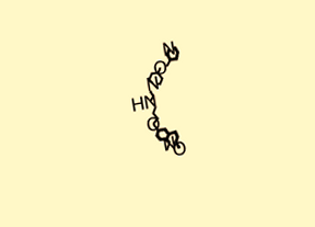 Cn1c(=O)ccc2cc(OCCCNCCN3CCC(OCc4cccnc4)CC3)ccc21